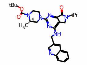 CC(C)N1Cc2c(NCc3cnc4ccccc4c3)nc(N3CCN(C(=O)OC(C)(C)C)[C@@H](C)C3)nc2C1=O